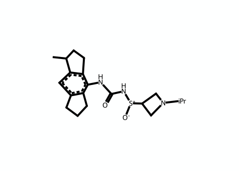 CC1CCc2c1cc1c(c2NC(=O)N[S+]([O-])C2CN(C(C)C)C2)CCC1